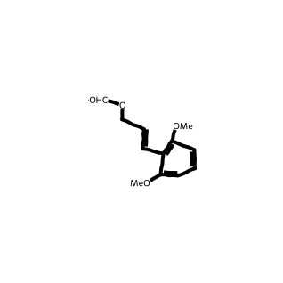 COc1cccc(OC)c1C=CCO[C]=O